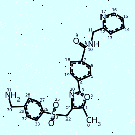 Cc1oc(-c2ccc(C(=O)NCc3ccccn3)cc2)nc1CS(=O)(=O)c1ccc(CN)cc1